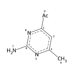 CC(=O)c1cc(C)nc(N)n1